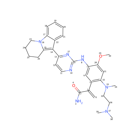 C=C(C(N)=O)c1cc(Nc2nccc(-c3c4n(c5ccccc35)CCCC4)n2)c(OC)cc1N(C)CCN(C)C